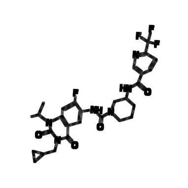 CC(C)n1c(=O)n(CC2CC2)c(=O)c2cc(NC(=O)N3CCCC(NC(=O)c4ccc(C(F)(F)F)nc4)C3)c(F)cc21